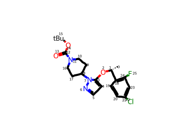 C[C@@H](Oc1ccnn1C1CCN(C(=O)OC(C)(C)C)CC1)c1ccc(Cl)cc1F